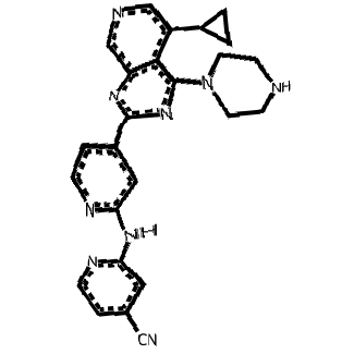 N#Cc1ccnc(Nc2cc(-c3nc(N4CCNCC4)c4c(C5CC5)cncc4n3)ccn2)c1